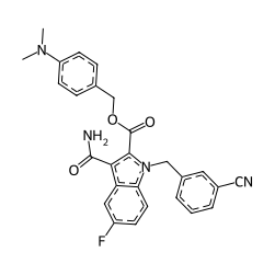 CN(C)c1ccc(COC(=O)c2c(C(N)=O)c3cc(F)ccc3n2Cc2cccc(C#N)c2)cc1